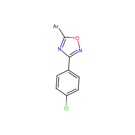 CC(=O)c1nc(-c2ccc(Cl)cc2)no1